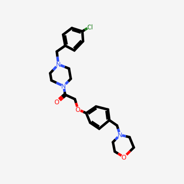 O=C(COc1ccc(CN2CCOCC2)cc1)N1CCN(Cc2ccc(Cl)cc2)CC1